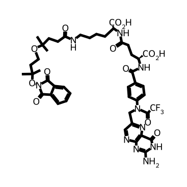 CC(C)(CCC(=O)NCCCC[C@H](NC(=O)CC[C@H](NC(=O)c1ccc(N(Cc2cnc3nc(N)[nH]c(=O)c3n2)C(=O)C(F)(F)F)cc1)C(=O)O)C(=O)O)OCCC(C)(C)ON1C(=O)c2ccccc2C1=O